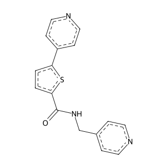 O=C(NCc1ccncc1)c1ccc(-c2ccncc2)s1